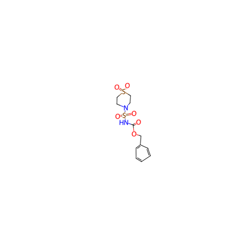 O=C(NS(=O)(=O)N1CCS(=O)(=O)CC1)OCc1ccccc1